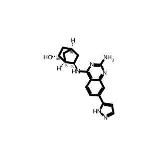 Nc1nc(N[C@@H]2C[C@H]3C[C@@H]2[C@H](O)C3)c2ccc(-c3ccn[nH]3)cc2n1